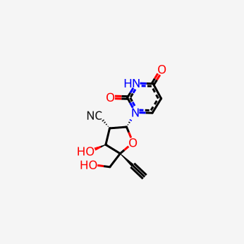 C#C[C@]1(CO)O[C@@H](n2ccc(=O)[nH]c2=O)[C@@H](C#N)[C@@H]1O